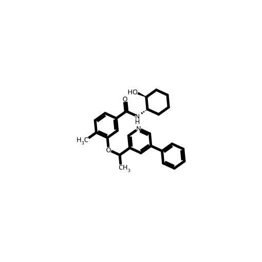 Cc1ccc(C(=O)N[C@H]2CCCC[C@@H]2O)cc1OC(C)c1cncc(-c2ccccc2)c1